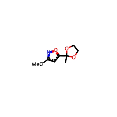 COc1cc(C2(C)OCCO2)on1